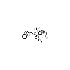 CC(C)CC(C)(C(=O)OCCC1COC2(CCCCC2)O1)C(C)C